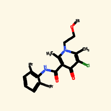 CCOCCn1c(C)c(Cl)c(=O)c(C(=O)Nc2c(C(C)C)cccc2C(C)C)c1C